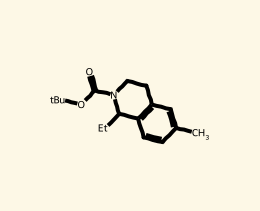 CCC1c2ccc(C)cc2CCN1C(=O)OC(C)(C)C